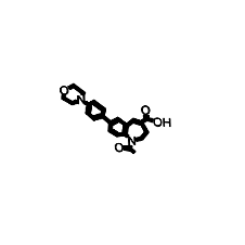 CC(=O)N1CCC(C(=O)O)=Cc2cc(-c3ccc(N4CCOCC4)cc3)ccc21